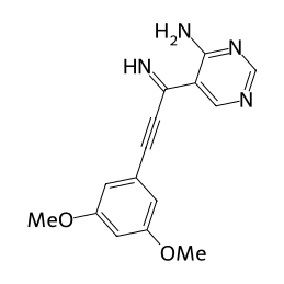 COc1cc(C#CC(=N)c2cncnc2N)cc(OC)c1